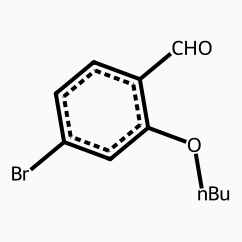 CCCCOc1cc(Br)ccc1C=O